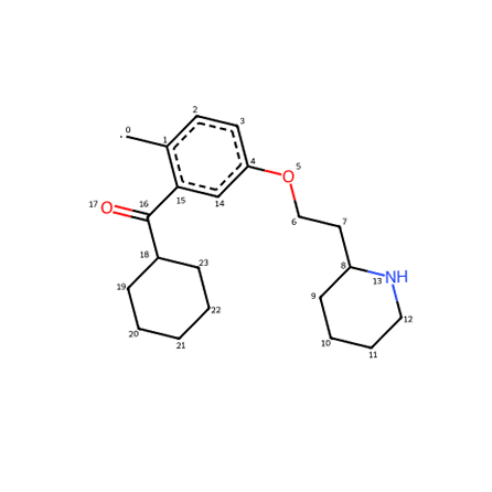 [CH2]c1ccc(OCCC2CCCCN2)cc1C(=O)C1CCCCC1